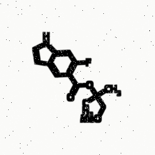 COCC(C)(C)OC(=O)c1cc2cc[nH]c2cc1F